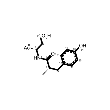 CC(=O)[C@H](CC(=O)O)NC(=O)[C@@H](C)Cc1ccc(O)cc1